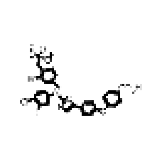 O=C(O)c1ccc(Oc2ccc(-c3cnc(N(Cc4ccc(CP(=O)(OF)OF)c(Br)c4)c4ccc(Cl)c(Cl)c4)o3)cc2)cc1